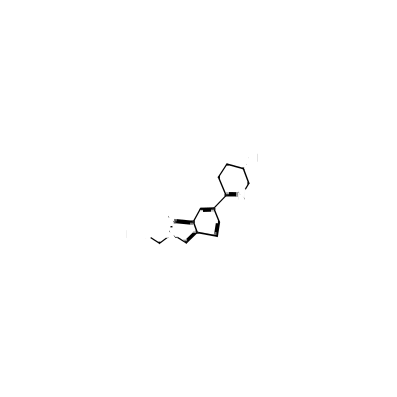 CCn1cc2ccc(C3=NC[C@@H](C)CC3)cc2n1